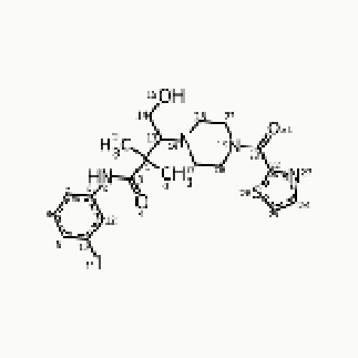 CC(C)(C(=O)Nc1cccc(I)c1)C(CO)N1CCN(C(=O)c2nccs2)CC1